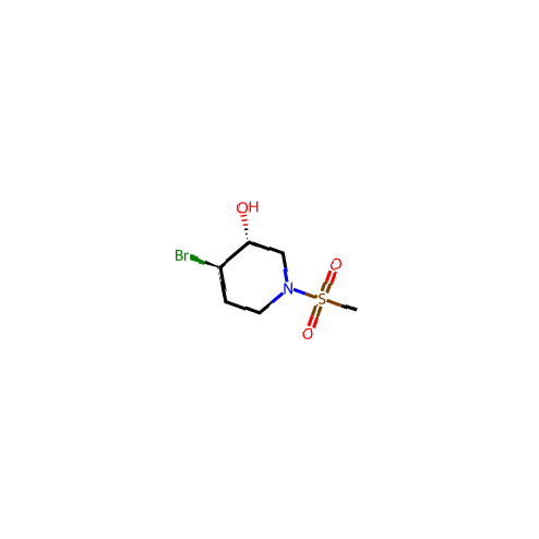 CS(=O)(=O)N1CC[C@@H](Br)[C@H](O)C1